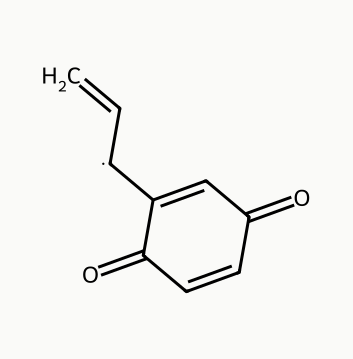 C=C[CH]C1=CC(=O)C=CC1=O